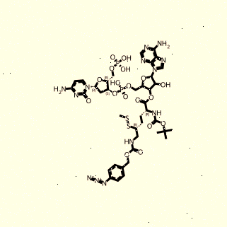 CSS[C@H](CC[C@@H](NC(=O)OC(C)(C)C)C(=O)OC1C(COP(=O)(O)O[C@H]2C[C@H](n3ccc(N)nc3=O)O[C@@H]2COP(=O)(O)O)OC(n2cnc3c(N)ncnc32)C1O)CNC(=O)OCc1ccc(N=[N+]=[N-])cc1